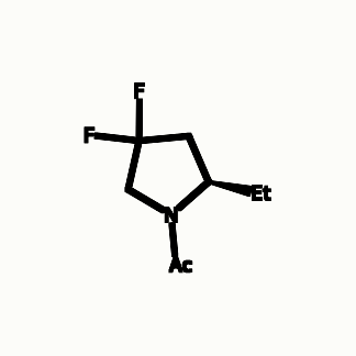 CC[C@@H]1CC(F)(F)CN1C(C)=O